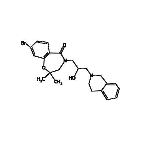 CC1(C)CN(CC(O)CN2CCc3ccccc3C2)C(=O)c2ccc(Br)cc2O1